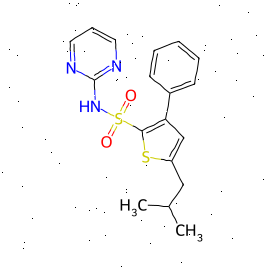 CC(C)Cc1cc(-c2ccccc2)c(S(=O)(=O)Nc2ncccn2)s1